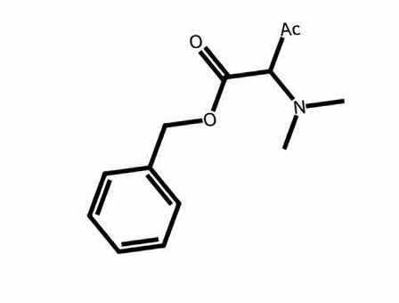 CC(=O)C(C(=O)OCc1ccccc1)N(C)C